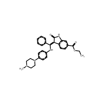 CCOC(=O)c1ccc2c(c1)NC(=O)C2=C(Nc1ccc(N2CCN(C)CC2)cc1)c1ccccc1